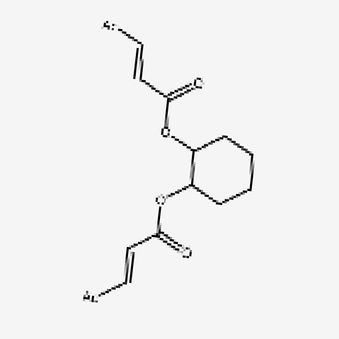 CC(=O)/C=C/C(=O)OC1CCCCC1OC(=O)/C=C/C(C)=O